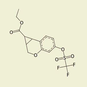 CCOC(=O)C1C2COc3cc(OS(=O)(=O)C(F)(F)F)ccc3C21